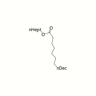 CCCCCCCCCCCCCCCCC(=O)OCCCCCCC